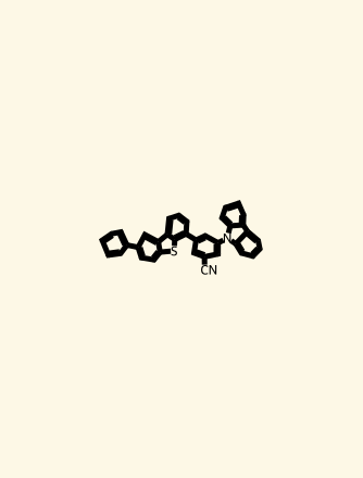 N#Cc1cc(-c2cccc3c2sc2ccc(-c4ccccc4)cc23)cc(-n2c3ccccc3c3ccccc32)c1